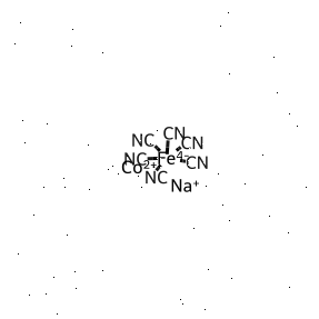 N#[C][Fe-4]([C]#N)([C]#N)([C]#N)([C]#N)[C]#N.[Co+2].[Na+]